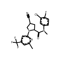 Cc1cc(C(F)(F)F)cc(N2CC(C#N)CC2C(=O)N(C)c2ccc(F)c(Cl)c2)n1